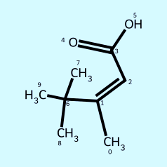 CC(=CC(=O)O)C(C)(C)C